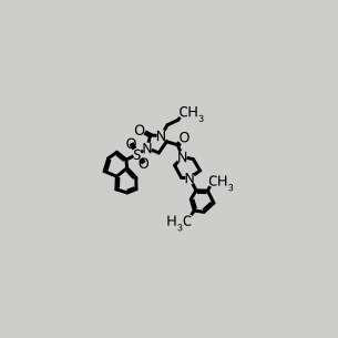 CCCN1C(=O)N(S(=O)(=O)c2cccc3ccccc23)CC1C(=O)N1CCN(c2cc(C)ccc2C)CC1